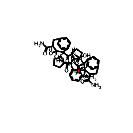 Cc1cccc(N(C2CCCN2[C@@]2(C(=O)NC(=O)O)c3ccc(cc3)CC(C(N)=O)C2(C)O)C2CCCN2[C@@]2(C(=O)NC(=O)O)c3ccc(cc3)CC(C(N)=O)C2(C)O)c1C